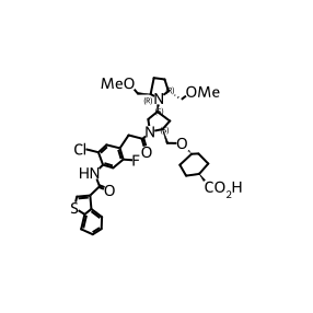 COC[C@H]1CC[C@H](COC)N1[C@H]1C[C@@H](CO[C@H]2CC[C@H](C(=O)O)CC2)N(C(=O)Cc2cc(Cl)c(NC(=O)c3csc4ccccc34)cc2F)C1